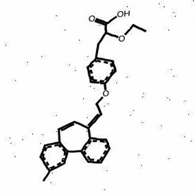 CCOC(Cc1ccc(OCC=C2C=Cc3ccc(C)cc3-c3ccccc32)cc1)C(=O)O